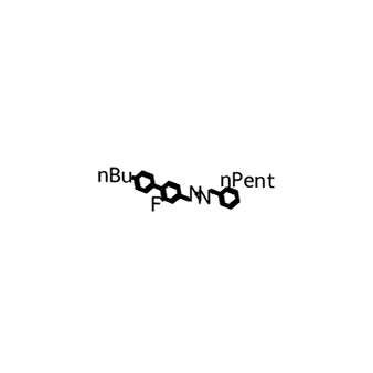 CCCCCc1ccccc1C=NN=Cc1ccc(-c2ccc(CCCC)cc2)c(F)c1